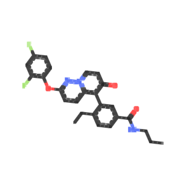 CCCNC(=O)c1ccc(CC)c(-c2c(=O)ccn3nc(Oc4ccc(F)cc4F)ccc23)c1